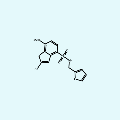 COc1ccc(S(=O)(=O)NCc2ccco2)c2cc(C(C)=O)oc12